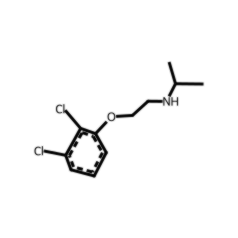 CC(C)NCCOc1cccc(Cl)c1Cl